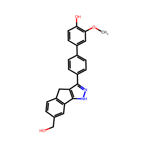 COc1cc(-c2ccc(-c3n[nH]c4c3Cc3ccc(CO)cc3-4)cc2)ccc1O